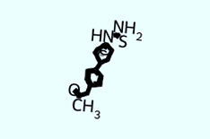 CC(=O)Cc1ccc(C23CCC(NC(N)=S)(CC2)CC3)cc1